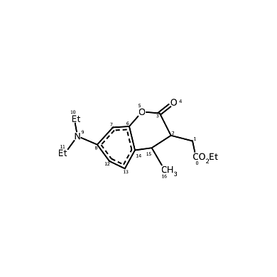 CCOC(=O)CC1C(=O)Oc2cc(N(CC)CC)ccc2C1C